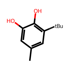 Cc1cc(O)c(O)c(C(C)(C)C)c1